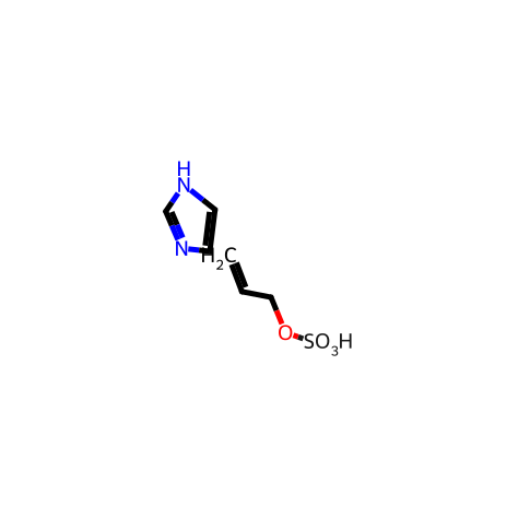 C=CCOS(=O)(=O)O.c1c[nH]cn1